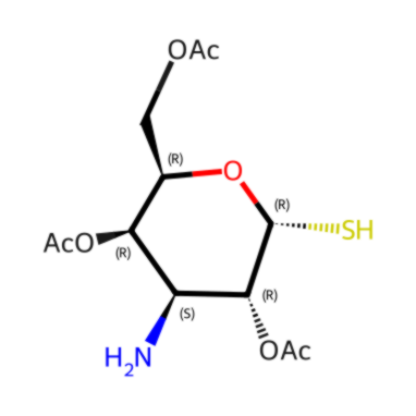 CC(=O)OC[C@H]1O[C@H](S)[C@H](OC(C)=O)[C@@H](N)[C@H]1OC(C)=O